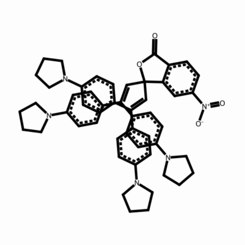 O=C1OC(C=C(c2ccc(N3CCCC3)cc2)c2ccc(N3CCCC3)cc2)(C=C(c2ccc(N3CCCC3)cc2)c2ccc(N3CCCC3)cc2)c2cc([N+](=O)[O-])ccc21